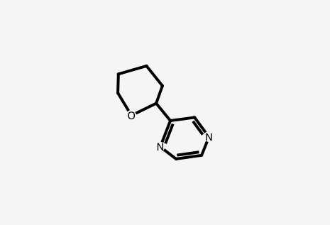 c1cnc(C2CCCCO2)cn1